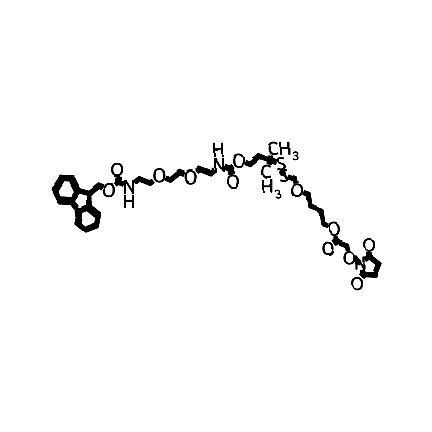 CC(C)(CCOC(=O)NCCOCCOCCNC(=O)OCC1c2ccccc2-c2ccccc21)SSCOCCCCOC(=O)CON1C(=O)CCC1=O